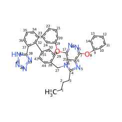 CCCCc1nc2c(Oc3ccccc3)nnc(Oc3ccccc3)c2n1Cc1ccc(-c2ccccc2-c2nnn[nH]2)cc1